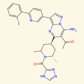 CC(=O)c1c([C@@H]2CC(C)N(C(=O)c3nnc[nH]3)[C@@H](C)C2)nc2c(-c3ccc(-c4ccccc4F)nc3)cnn2c1N